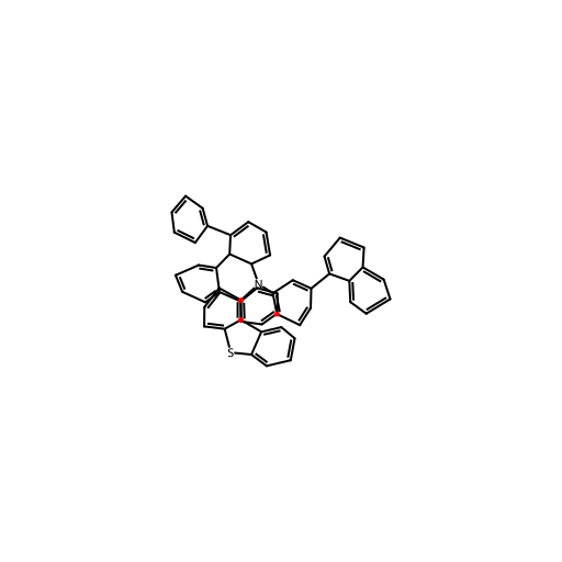 C1=CC(N(c2cccc(-c3cccc4ccccc34)c2)c2cccc3sc4ccccc4c23)C(c2ccccc2-c2ccccc2)C(c2ccccc2)=C1